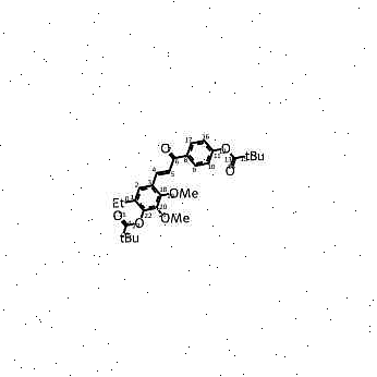 CCc1cc(C=CC(=O)c2ccc(OC(=O)C(C)(C)C)cc2)c(OC)c(OC)c1OC(=O)C(C)(C)C